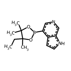 CCC1(C)OB(c2cncc3[nH]ccc23)OC1(C)C